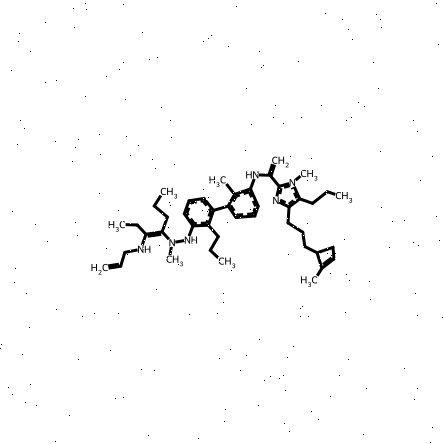 C=CCN/C(CC)=C(/CCC)N(C)Nc1cccc(-c2cccc(NC(=C)c3nc(CCCC4CC=C4C)c(CCC)n3C)c2C)c1CCC